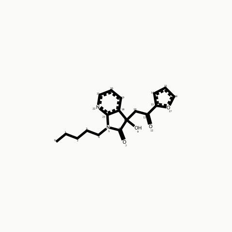 CCCCCN1C(=O)C(O)(CC(=O)c2ccco2)c2cccnc21